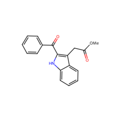 COC(=O)Cc1c(C(=O)c2ccccc2)[nH]c2ccccc12